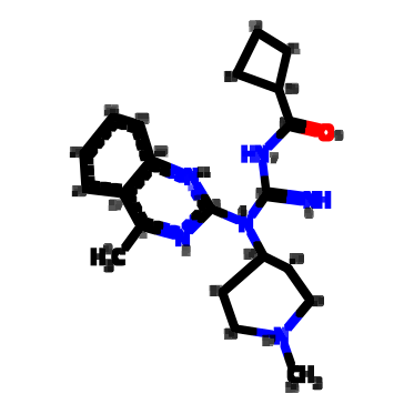 Cc1nc(N(C(=N)NC(=O)C2CCC2)C2CCN(C)CC2)nc2ccccc12